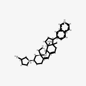 CC12CC=C3C=C4CC[C@@H](N5CCC(F)C5)C[C@]45CC[C@]3(O5)[C@@H]1CCC2c1ccc2ccncc2c1